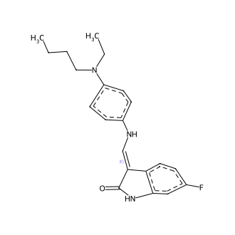 CCCCN(CC)c1ccc(N/C=C2/C(=O)Nc3cc(F)ccc32)cc1